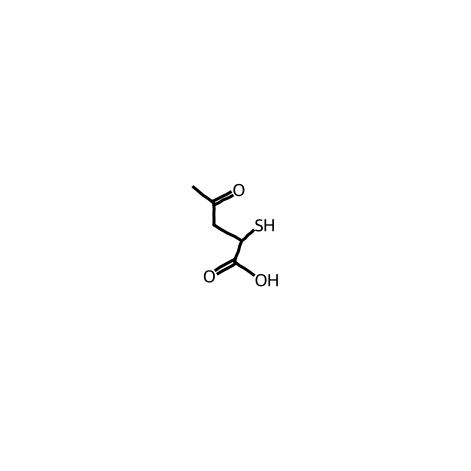 CC(=O)CC(S)C(=O)O